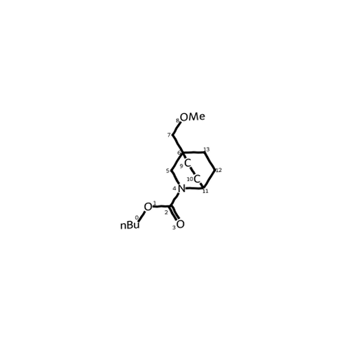 CCCCOC(=O)N1CC2(COC)CCC1CC2